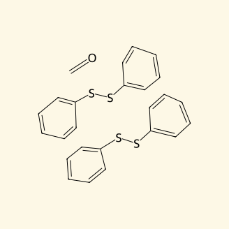 C=O.c1ccc(SSc2ccccc2)cc1.c1ccc(SSc2ccccc2)cc1